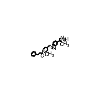 Cc1[nH]ncc1-c1ccc2c(c1)ncn2CC1CCN(C(=O)CCc2ccccc2)C(C)C1